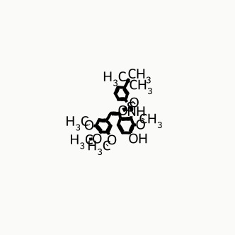 COc1cc(/C=C\c2ccc(O)c(OC)c2NS(=O)(=O)c2cccc(C(C)(C)C)c2)cc(OC)c1OC